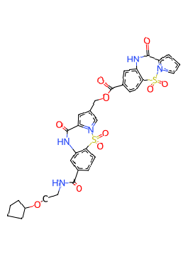 O=C(NCCOC1CCCC1)c1ccc2c(c1)NC(=O)c1cc(COC(=O)c3ccc4c(c3)NC(=O)c3cccn3S4(=O)=O)cn1S2(=O)=O